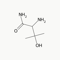 CC(C)(O)C(N)C(N)=O